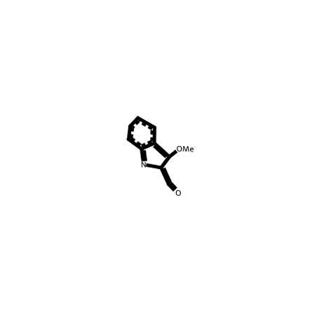 COC1=c2ccccc2=NC1=C=O